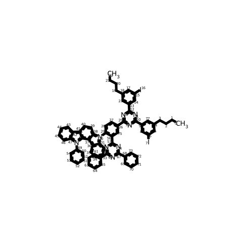 CCCCc1cc(I)cc(-c2nc(-c3cc(I)cc(CCCC)c3)nc(-c3ccc(-n4c5ccccc5c5c4ccc4c6ccccc6n(-c6ccccc6)c45)c(-c4nc(-c5ccccc5)nc(-c5ccccc5)n4)c3)n2)c1